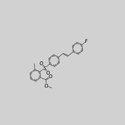 COC(=O)c1cccc(C)c1S(=O)(=O)c1ccc(C=Cc2ccc(F)cc2)cc1